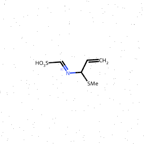 C=CC(/N=C/S(=O)(=O)O)SC